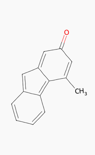 CC1=CC(=O)C=C2C=c3ccccc3=C12